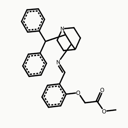 COC(=O)COc1ccccc1C=NC1C2CCN(CC2)C1C(c1ccccc1)c1ccccc1